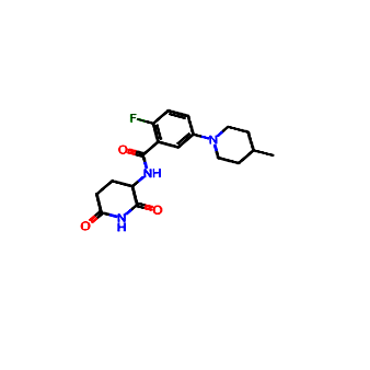 CC1CCN(c2ccc(F)c(C(=O)NC3CCC(=O)NC3=O)c2)CC1